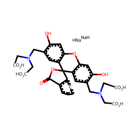 O=C(O)CN(CC(=O)O)Cc1cc2c(cc1O)Oc1cc(O)c(CN(CC(=O)O)CC(=O)O)cc1C21OC(=O)c2ccccc21.[NaH].[NaH]